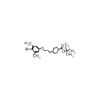 Cc1cc(OCCCC2CCN(C(=O)OC(C)(C)C)CC2)cc(C)c1Br